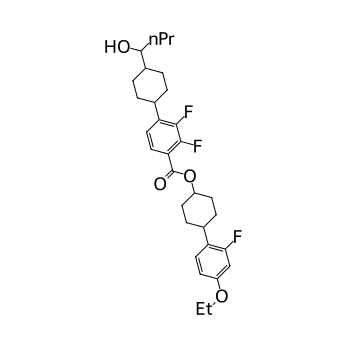 CCCC(O)C1CCC(c2ccc(C(=O)OC3CCC(c4ccc(OCC)cc4F)CC3)c(F)c2F)CC1